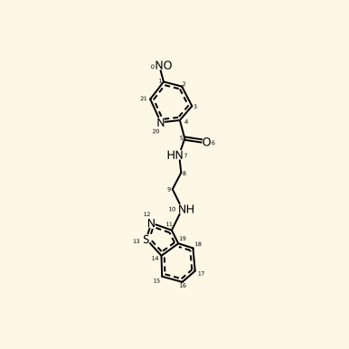 O=Nc1ccc(C(=O)NCCNc2nsc3ccccc23)nc1